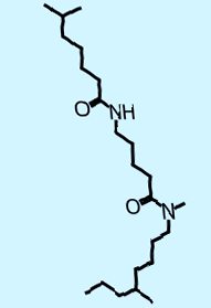 CCCC(C)CCCCN(C)C(=O)CCCCNC(=O)CCCCC(C)C